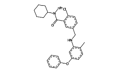 CCCN(C(=O)c1cc(CNc2cc(Oc3ccccc3)ccc2C)ccc1Cl)C1CCCCC1